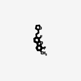 Cc1ccc2c(oc3c(F)c(CCC4CCCO4)ccc32)c1F